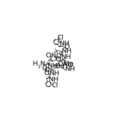 COC(=O)[C@H](C[C@@H]1CCCNC1=O)NC(=O)[C@H](CC(C)(C)CN1CCC[C@@H](C[C@H](NC(=O)[C@H](CC(C)(C)C)NC(=O)c2cc3cccc(Cl)c3[nH]2)C(N)=O)C1=O)NC(=O)c1cc2cccc(Cl)c2[nH]1